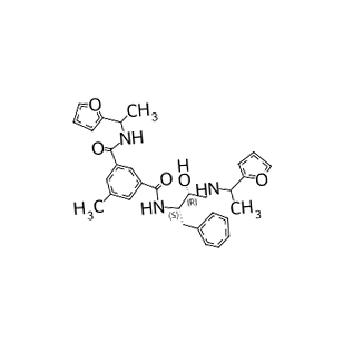 Cc1cc(C(=O)NC(C)c2ccco2)cc(C(=O)N[C@@H](Cc2ccccc2)[C@H](O)CNC(C)c2ccco2)c1